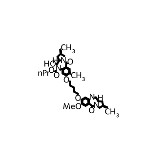 CC=C1C[C@H]2C=Nc3cc(OCCCCCOc4cc5c(cc4C)C(=O)N4CC(=CC)C[C@H]4C(O)N5C(=O)OCCC)c(OC)cc3C(=O)N2C1